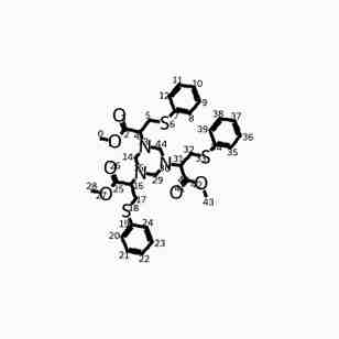 COC(=O)C(CSc1ccccc1)N1CN(C(CSc2ccccc2)C(=O)OC)CN(C(CSc2ccccc2)C(=O)OC)C1